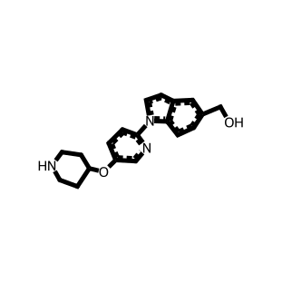 OCc1ccc2c(ccn2-c2ccc(OC3CCNCC3)cn2)c1